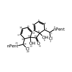 CCCCCC(Cl)C1C=CC=CC1(O)C(=O)C1(O)C=CC=CC1C(Cl)CCCCC